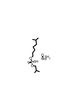 CC(C)CCCCCOP(=S)(S)OCC(C)C.S.[O]=[Mo]